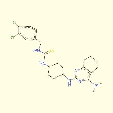 CN(C)c1nc(NC2CCC(NC(=S)NCc3ccc(Cl)c(Cl)c3)CC2)nc2c1CCCC2